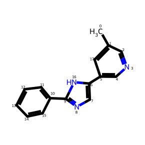 Cc1cncc(-c2cnc(-c3ccccc3)[nH]2)c1